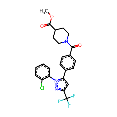 COC(=O)C1CCN(C(=O)c2ccc(-c3cc(C(F)(F)F)nn3-c3ccccc3Cl)cc2)CC1